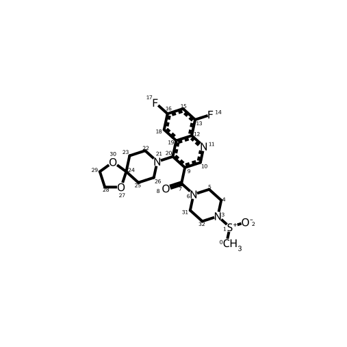 C[S+]([O-])N1CCN(C(=O)c2cnc3c(F)cc(F)cc3c2N2CCC3(CC2)OCCO3)CC1